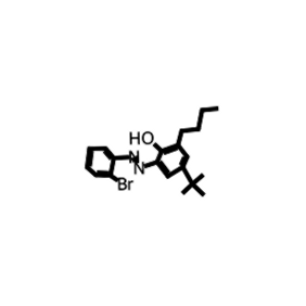 CCCCc1cc(C(C)(C)C)cc(N=Nc2ccccc2Br)c1O